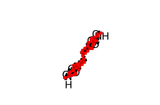 C=C(C)C(=O)Nc1cc(C(C)C)c(N2C(=O)c3ccc4c5c(ccc(c35)C2=O)-c2cc3cc(CCc5cc6cc7c(cc6cc5C)-c5ccc6c8c(ccc-7c58)C(=O)N(c5c(C(C)C)cc(NC(=O)C(=C)C)cc5C(C)C)C6=O)c(C)cc3cc2-4)c(C(C)C)c1